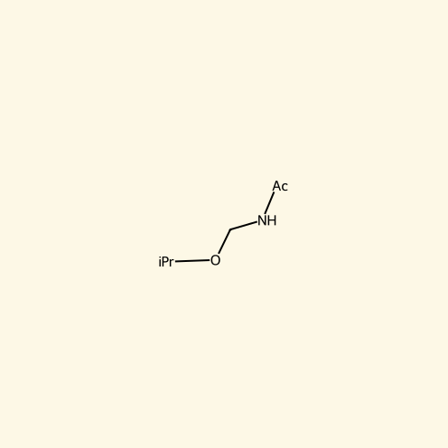 CC(=O)NCOC(C)C